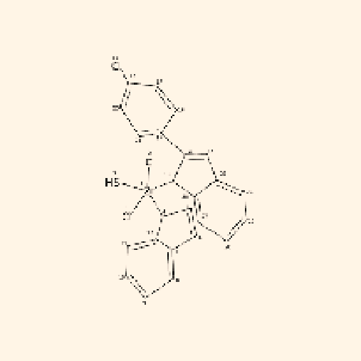 [SH][Zr]([Cl])([Cl])([CH]1C=Cc2ccccc21)[CH]1C(c2ccc(Cl)cc2)=Cc2ccccc21